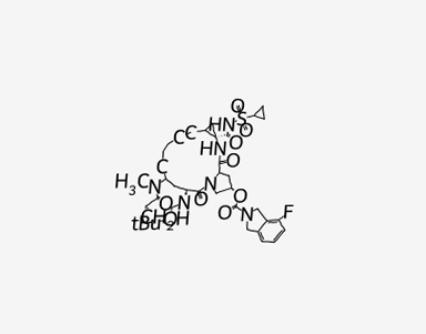 C=CC(=O)N(C)C1CCCCCC2C[C@@]2(C(=O)NS(=O)(=O)C2CC2)NC(=O)C2C[C@@H](OC(=O)N3Cc4cccc(F)c4C3)CN2C(=O)[C@@H](NCOC(C)(C)C)C1